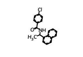 CC(NC(=O)c1ccc(Cl)cc1)c1cccc2ccccc12